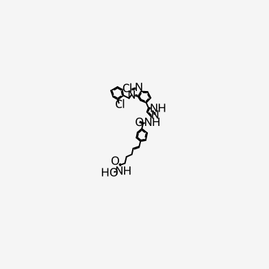 O=C(CCCC=Cc1ccc(C(=O)Nc2cc(-c3ccc4ncn(Cc5c(Cl)cccc5Cl)c4c3)[nH]n2)cc1)NO